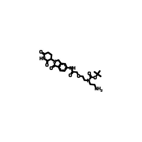 CC(C)(C)OC(=O)N(CCN)CCOCC(=O)Nc1ccc2c(c1)CN(C1CCC(=O)NC1=O)C2=O